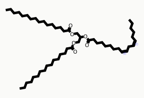 CCCCC/C=C\C/C=C\CCCCCCCC(=O)OC(COC(=O)CCCCCCCCCCCCCCC)COC(=O)CCCCCCCCCCCCCCC